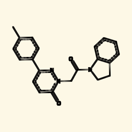 Cc1ccc(-c2ccc(=O)n(CC(=O)N3CCc4ccccc43)n2)cc1